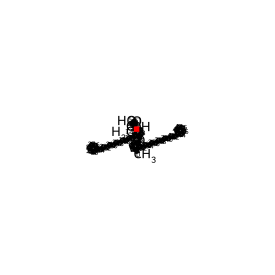 Cc1cccc(Oc2cccc(C)c2CCCCCCCCCC=Cc2ccccc2)c1CCCCCCCCCC=Cc1ccccc1.O=S(=O)(O)O